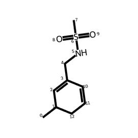 CC1C=C(CNS(C)(=O)=O)C=CC1